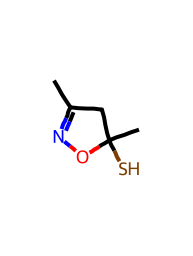 CC1=NOC(C)(S)C1